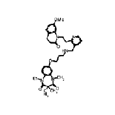 CCN1C(=O)C(C)(C)C(=O)N(C)c2cc(OCCCNCc3cccnc3CCN3C(=O)CCc4ccc(OC)cc43)ccc21